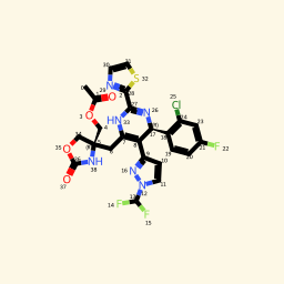 CC(=O)OC[C@]1(CC2=C(c3ccn(C(F)F)n3)[C@H](c3ccc(F)cc3Cl)N=C(c3nccs3)N2)COC(=O)N1